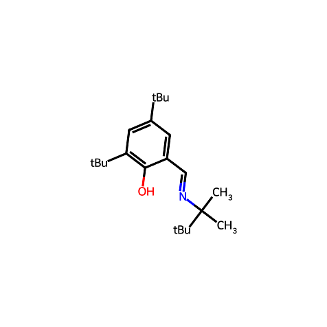 CC(C)(C)c1cc(/C=N/C(C)(C)C(C)(C)C)c(O)c(C(C)(C)C)c1